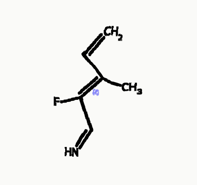 C=C/C(C)=C(\F)C=N